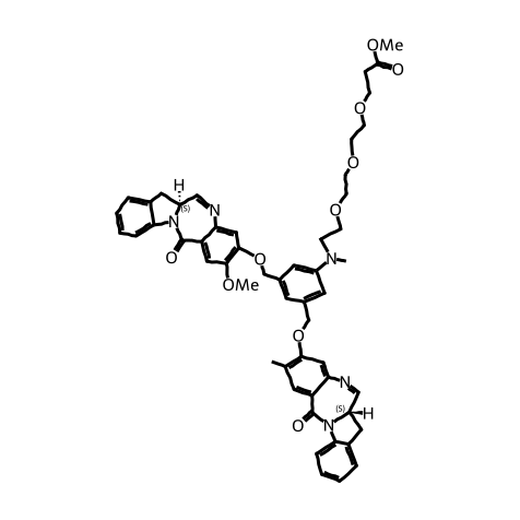 COC(=O)CCOCCOCCOCCN(C)c1cc(COc2cc3c(cc2C)C(=O)N2c4ccccc4C[C@H]2C=N3)cc(COc2cc3c(cc2OC)C(=O)N2c4ccccc4C[C@H]2C=N3)c1